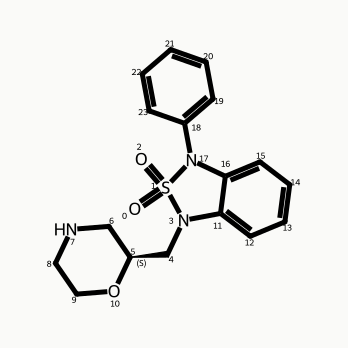 O=S1(=O)N(C[C@@H]2CNCCO2)c2ccccc2N1c1ccccc1